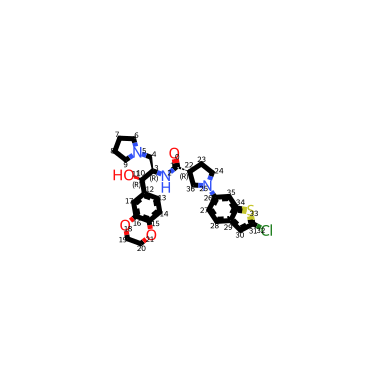 O=C(N[C@H](CN1CCCC1)[C@H](O)c1ccc2c(c1)OCCO2)[C@@H]1CCN(c2ccc3cc(Cl)sc3c2)C1